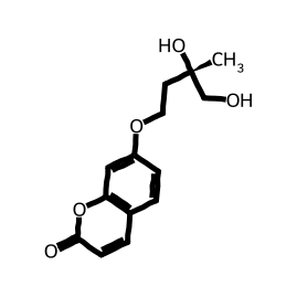 C[C@@](O)(CO)CCOc1ccc2ccc(=O)oc2c1